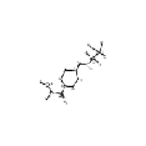 CON(C)C(=O)[C@H]1CC[C@@H](CO[Si](C)(C)C(C)(C)C)CC1